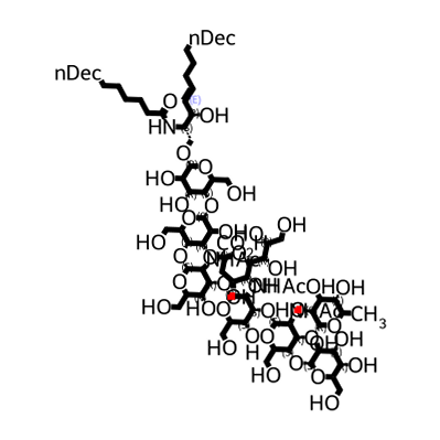 CCCCCCCCCCCCC/C=C/[C@@H](O)[C@H](CO[C@@H]1OC(CO)[C@@H](O[C@@H]2OC(CO)[C@H](O[C@@H]3OC(CO)[C@H](O)[C@H](O[C@@H]4OC(CO)[C@H](O)[C@H](O[C@@H]5OC(CO)[C@@H](O[C@@H]6OC(CO)[C@H](O)[C@H](O)C6O)[C@H](O[C@H]6OC(C)[C@@H](O)C(O)[C@@H]6O)C5NC(C)=O)C4O)C3NC(C)=O)[C@H](O[C@]3(C(=O)O)CC(O)[C@@H](NC(C)=O)C([C@H](O)[C@H](O)CO)O3)C2O)[C@H](O)C1O)NC(=O)CCCCCCCCCCCCCCC